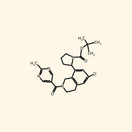 Cc1ncc(C(=O)N2CCc3cc(Cl)cc(C4CCCN4C(=O)OC(C)(C)C)c3C2)cn1